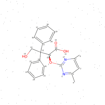 Cc1cc(C)nc(O[C@H](C(=O)O)C(CO)(c2ccccc2)c2ccccc2)n1